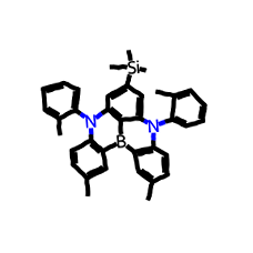 Cc1ccc2c(c1)B1c3cc(C)ccc3N(c3ccccc3C)c3cc([Si](C)(C)C)cc(c31)N2c1ccccc1C